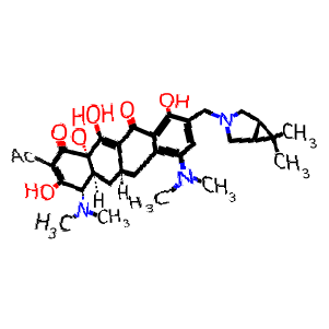 CC(=O)C1=C(O)[C@@H](N(C)C)[C@@H]2C[C@@H]3Cc4c(N(C)C)cc(CN5CC6C(C5)C6(C)C)c(O)c4C(=O)C3=C(O)[C@]2(O)C1=O